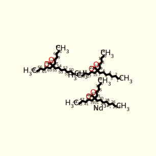 CCCCCCCCC(CCCCCC)(CCCCCC)C(=O)[O-].CCCCCCCCC(CCCCCC)(CCCCCC)C(=O)[O-].CCCCCCCCC(CCCCCC)(CCCCCC)C(=O)[O-].[Nd+3]